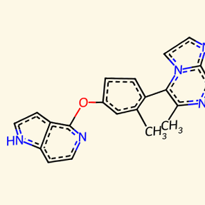 Cc1cc(Oc2nccc3[nH]ccc23)ccc1-c1c(C)ncc2nccn12